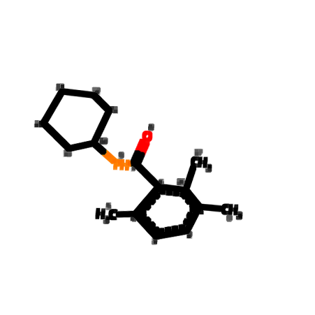 Cc1ccc(C)c(C(=O)PC2CCCCC2)c1C